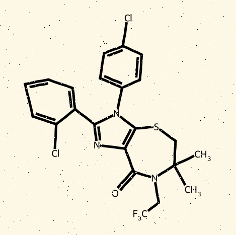 CC1(C)CSc2c(nc(-c3ccccc3Cl)n2-c2ccc(Cl)cc2)C(=O)N1CC(F)(F)F